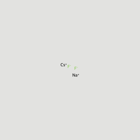 [Cs+].[F-].[F-].[Na+]